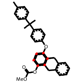 COC(=O)Oc1ccc(Oc2ccc(C(C)(C)c3ccc(C)cc3)cc2)c2c1C1c3ccccc3C2c2ccccc21